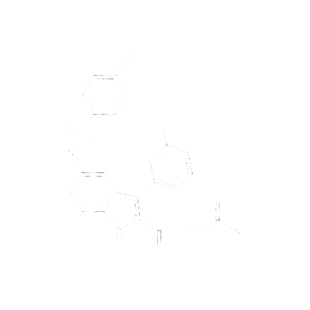 CC(C)(C)c1ccc(S(=O)(=O)Nc2ccc3[nH]c(C(=O)OCC(N)=O)c(-c4cccc(F)c4)c3c2)cc1